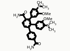 COc1cc(-c2c(C(N)=O)ccc(-c3ccc(C(N)=O)cc3)c2-c2ccc(N(C)C)c(OC)c2)ccc1N(C)C